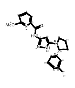 COc1cccc(C(=O)Nc2cc(N3CCC[C@@H]3c3cccc(F)c3)[nH]n2)n1